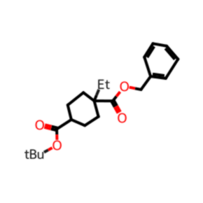 CCC1(C(=O)OCc2ccccc2)CCC(C(=O)OC(C)(C)C)CC1